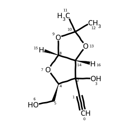 C#CC1(O)[C@@H](CO)O[C@@H]2OC(C)(C)O[C@@H]21